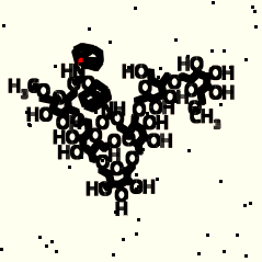 COCC1OC(COCC2C(CO)OC(COCC3C(COC(=O)NC45CC6CC(CC(C6)C4)C5)OC(COCC4OC(COCC5C(CO)OC(COCC6C(COC(=O)NC78CC9CC(CC(C9)C7)C8)OC(COC)C(O)C6O)C(O)C5O)C(O)C(O)C4O)C(O)C3O)C(O)C2O)C(O)C(O)C1O